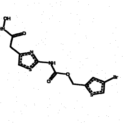 O=C(Cc1csc(NC(=O)OCc2cc(Br)cs2)n1)NO